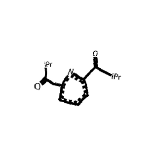 CC(C)C(=O)c1cccc(C(=O)C(C)C)n1